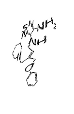 Nc1nsnc1NCC=C(COc1ccccc1)CN1CCCCC1